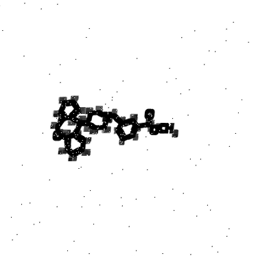 COC(=O)c1cccc(CN2CCC(=C3c4ccccc4COc4ccccc43)CC2)c1